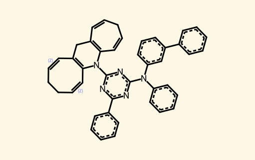 C1=CC2=C(C=CC1)N(c1nc(-c3ccccc3)nc(N(c3ccccc3)c3cccc(-c4ccccc4)c3)n1)C1=C(/C=C\CC/C=C\1)C2